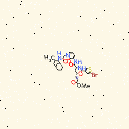 COC(=O)/C=C/CCC(NC(=O)c1csc(Br)c1)C(=O)Nc1cccn(CC(=O)NC2C(C)CC3CCCC2C3)c1=O